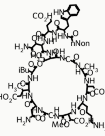 CCCCCCCCCC(=O)NC(Cc1c[nH]c2ccccc12)C(=O)NC(CCC(=O)O)C(=O)NC(C(=O)NC1C(=O)NCC(=O)NC(C)C(=O)NC(CC(=O)O)C(=O)NC(CCCCN)C(=O)NC(C(OC)C(=O)O)C(=O)NCC(=O)NC(CC(N)=O)C(=O)NC(C(C)CC(=O)O)C(=O)NC(C(C)CC)C(=O)OC1C)C(O)C(N)=O